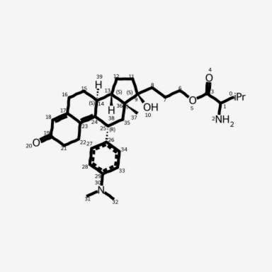 CC(C)C(N)C(=O)OCCC[C@@]1(O)CC[C@H]2[C@@H]3CCC4=CC(=O)CCC4=C3[C@@H](c3ccc(N(C)C)cc3)C[C@]21C